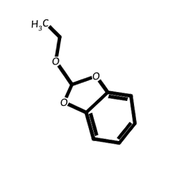 CCOC1Oc2ccccc2O1